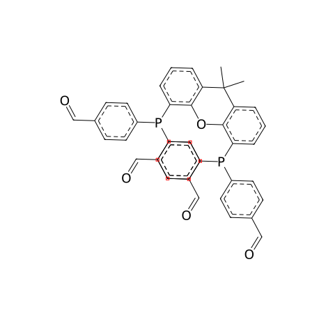 CC1(C)c2cccc(P(c3ccc(C=O)cc3)c3ccc(C=O)cc3)c2Oc2c(P(c3ccc(C=O)cc3)c3ccc(C=O)cc3)cccc21